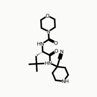 CC(C)(C)C[C@H](NC(=O)N1CCOCC1)C(=O)NC1(C#N)CCNCC1